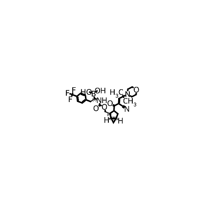 CC(C)(C=C(C#N)C(=O)C1C[C@H]2C[C@@H]2[C@H]1COC(=O)N[C@@H](Cc1ccc(C(F)(F)F)cc1)B(O)O)N1CCOCC1